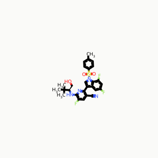 Cc1ccc(S(=O)(=O)n2cc(-c3nc(N[C@H](CO)C(C)(C)C)c(F)cc3C#N)c3cc(F)cc(F)c32)cc1